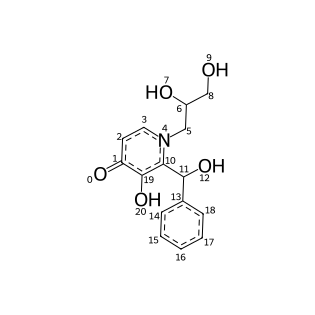 O=c1ccn(CC(O)CO)c(C(O)c2ccccc2)c1O